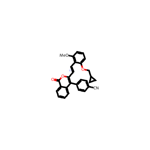 COc1cccc(OCC2CC2)c1/C=C/c1oc(=O)c2ccccc2c1-c1ccc(C#N)cc1